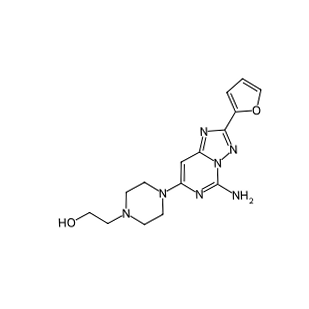 Nc1nc(N2CCN(CCO)CC2)cc2nc(-c3ccco3)nn12